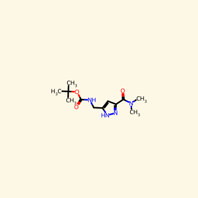 CN(C)C(=O)c1cc(CNC(=O)OC(C)(C)C)[nH]n1